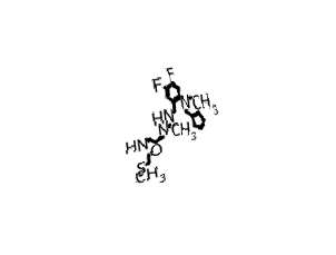 CCN(CC1CCCC1)c1cc(F)c(F)cc1CN/C(C)=N/C=C(\C=N)OCCSC